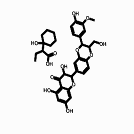 CCC(C(=O)O)C1(O)CCCCC1.COc1cc(C2Oc3cc(C4Oc5cc(O)cc(O)c5C(=O)C4O)ccc3OC2CO)ccc1O